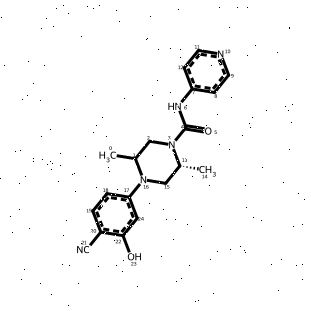 CC1CN(C(=O)Nc2ccncc2)[C@H](C)CN1c1ccc(C#N)c(O)c1